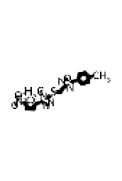 Cc1ccc(-c2nc(CSc3nnc(-c4ccc([N+](=O)[O-])o4)n3C)no2)cc1